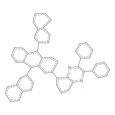 c1ccc(-c2nc3cccc(-c4ccc5c(-c6ccc7ccccc7c6)c6ccccc6c(-c6ccc7ccccc7c6)c5c4)c3nc2-c2ccccc2)cc1